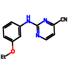 CCOc1cccc(Nc2nccc(C#N)n2)c1